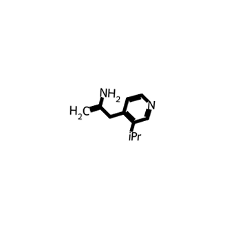 C=C(N)Cc1ccncc1C(C)C